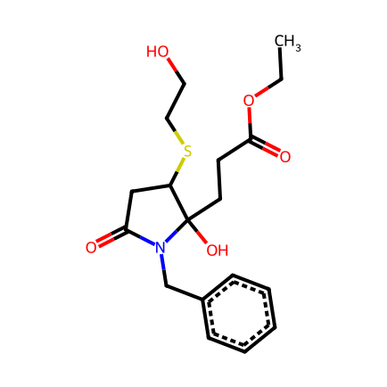 CCOC(=O)CCC1(O)C(SCCO)CC(=O)N1Cc1ccccc1